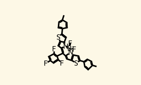 Cc1ccc(-c2cc3c(s2)=CC2=C(c4c(F)cc(F)cc4F)c4cc5sc(-c6ccc(C)cc6)cc5n4[B-](F)(F)[N+]=32)cc1